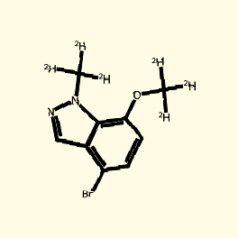 [2H]C([2H])([2H])Oc1ccc(Br)c2cnn(C([2H])([2H])[2H])c12